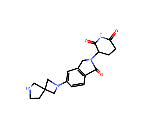 O=C1CCC(N2Cc3cc(N4CC5(CCNC5)C4)ccc3C2=O)C(=O)N1